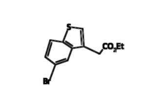 CCOC(=O)Cc1csc2ccc(Br)cc12